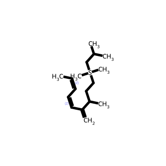 C=C(/C=C\C=C/C)C(C)CCS(C)(C)CC(C)C